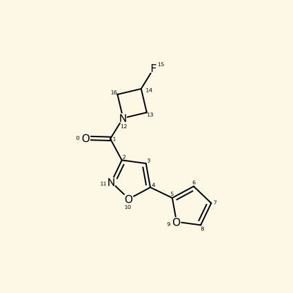 O=C(c1cc(-c2ccco2)on1)N1CC(F)C1